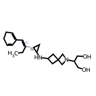 CC/C(=C\C1=CCCC=C1)[C@@H]1CC1NC1CC2(C1)CN(C(CO)CO)C2